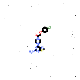 Nc1nc(N2CCN(C(=O)COc3ccc(Cl)cc3)CC2)c2ncsc2n1